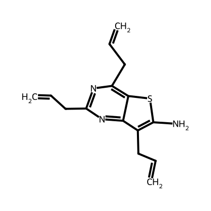 C=CCc1nc(CC=C)c2sc(N)c(CC=C)c2n1